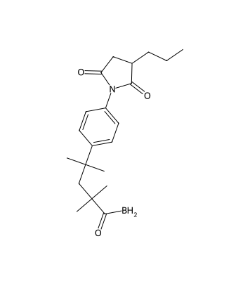 BC(=O)C(C)(C)CC(C)(C)c1ccc(N2C(=O)CC(CCC)C2=O)cc1